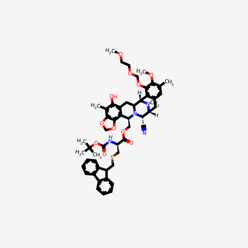 COCCOCOc1c(OC)c(C)cc2c1[C@H]1C3Cc4c(O)c(C)c5c(c4[C@H](COC(=O)[C@@H](CSCC4c6ccccc6-c6ccccc64)NC(=O)OC(C)(C)C)N3[C@@H](C#N)[C@@H](C2)N1C)OCO5